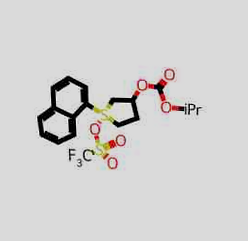 CC(C)OC(=O)OC1CCS(OS(=O)(=O)C(F)(F)F)(c2cccc3ccccc23)C1